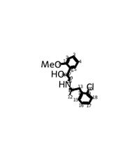 COc1ccccc1[C@@H](O)CN[C@H](C)Cc1ccccc1Cl